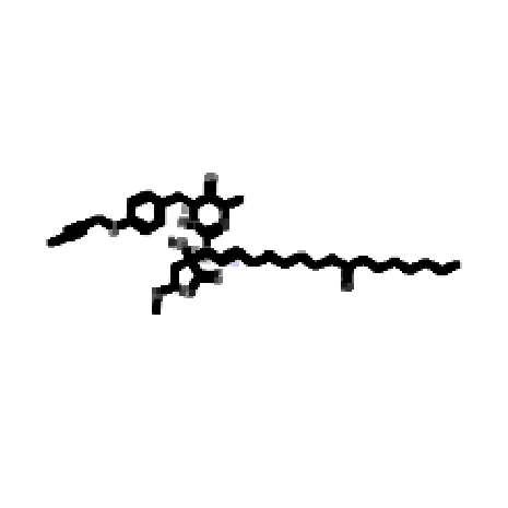 CC#CCOc1ccc(C[C@H](NC(=O)[C@@H](/C=C/CCCCCCC(=O)CCCCCCC)[C@@](O)(CCOC)C(=O)O)C(=O)NC)cc1